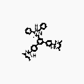 CC1=CC(C)NC(c2ccc(-c3cc(C4=NC(c5ccccc5)NC(c5ccccc5)N4C)cc(-c4ccc(C5N=C(C)C=C(C)N5)cc4)c3)cc2)=N1